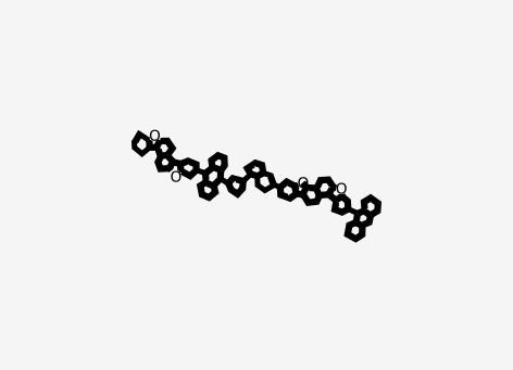 C1=Cc2oc3ccc4c(ccc5oc6cc(-c7c8ccccc8c(-c8cccc(-c9cccc%10c9CCC(c9ccc%11c(c9)oc9c%11ccc%11c9ccc9oc%12cc(-c%13c%14ccccc%14cc%14ccccc%13%14)ccc%12c9%11)=C%10)c8)c8ccccc78)ccc6c54)c3c2CC1